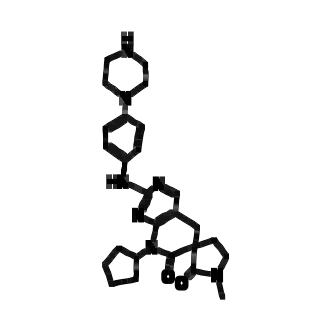 CN1CCC2(Cc3cnc(Nc4ccc(N5CCNCC5)cc4)nc3N(C3CCCC3)C2=O)C1=O